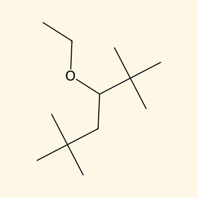 CCOC(CC(C)(C)C)C(C)(C)C